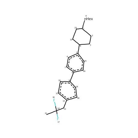 CCCCCCC1CCC(c2ccc(-c3ccc(CC(C)(F)F)cc3)cc2)CC1